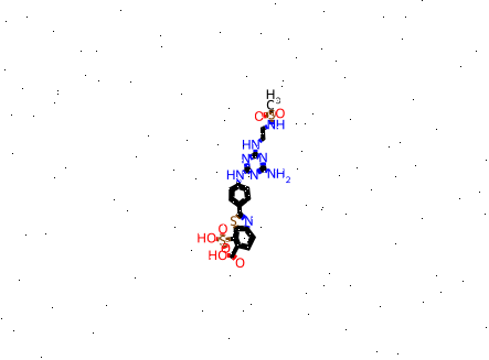 CS(=O)(=O)NCCNc1nc(N)nc(Nc2ccc(-c3nc4ccc(C(=O)O)c(S(=O)(=O)O)c4s3)cc2)n1